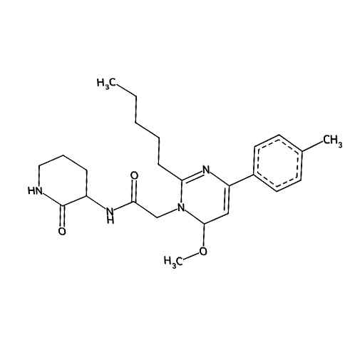 CCCCCC1=NC(c2ccc(C)cc2)=CC(OC)N1CC(=O)NC1CCCNC1=O